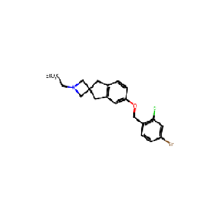 CCOC(=O)CN1CC2(Cc3ccc(OCc4ccc(Br)cc4Cl)cc3C2)C1